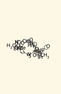 CCn1c(-c2cccnc2[C@H](C)OC)c2c3cc(ccc31)-c1csc(n1)C[C@H](NC(=O)[C@H](C(C)C)N(C)C(=O)N1CC3(CCOCC3)C1)C(=O)N1CCC[C@H](N1)C(=O)OCC(C)(C)C2